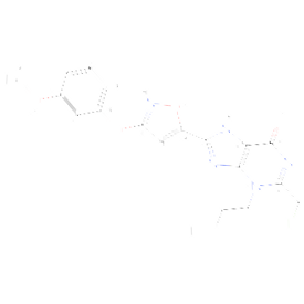 CCCn1c(CF)nc(=O)c2c1N=C(c1cc(Oc3cccc(OC)c3)no1)[N]2